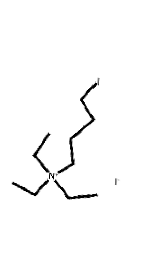 CC[N+](CC)(CC)CCCCI.[I-]